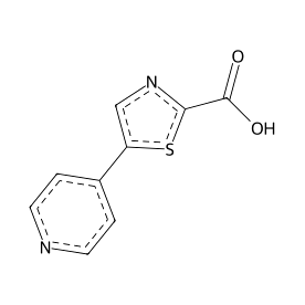 O=C(O)c1ncc(-c2ccncc2)s1